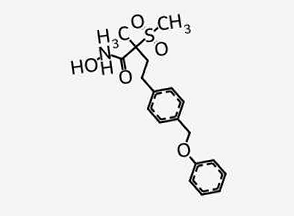 CC(CCc1ccc(COc2ccccc2)cc1)(C(=O)NO)S(C)(=O)=O